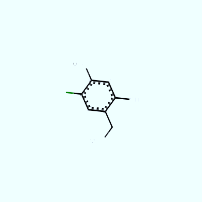 COCc1cc(Cl)c(OC)cc1C